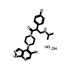 CC(C)NCC(C(=O)N1CCN(c2c(Br)cnc3[nH]ncc23)CC1)c1ccc(Cl)cc1.Cl.Cl